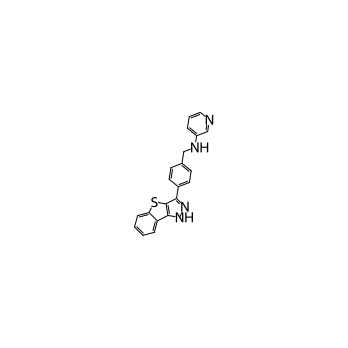 c1cncc(NCc2ccc(-c3n[nH]c4c3sc3ccccc34)cc2)c1